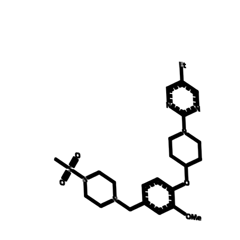 CCc1cnc(N2CCC(Oc3ccc(CN4CCN(S(C)(=O)=O)CC4)cc3OC)CC2)nc1